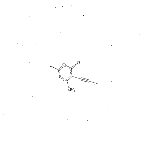 CC#Cc1c(O)cc(C)oc1=O